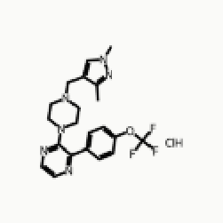 Cc1nn(C)cc1CN1CCN(c2nccnc2-c2ccc(OC(F)(F)F)cc2)CC1.Cl